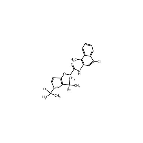 CCC(C)(C)c1ccc(OCC(=O)Nc2cc(Cl)c3ccccc3c2C)c(C(C)(C)CC)c1